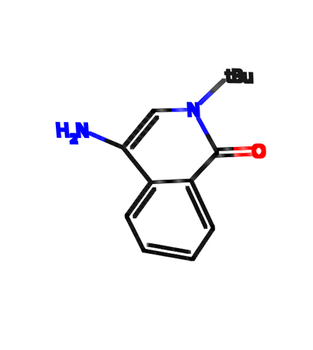 CC(C)(C)n1cc(N)c2ccccc2c1=O